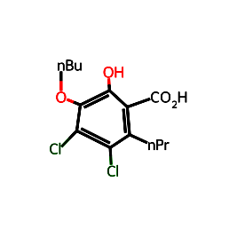 CCCCOc1c(O)c(C(=O)O)c(CCC)c(Cl)c1Cl